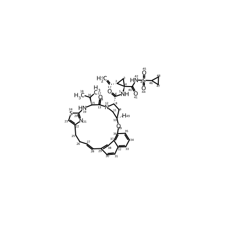 C=C[C@@H]1C[C@]1(NC(=O)[C@@H]1C[C@@H]2CN1C(=O)[C@H](C(C)C)Nc1nc(cs1)CC/C=C/c1ccc3cccc(c3c1)O2)C(=O)NS(=O)(=O)C1CC1